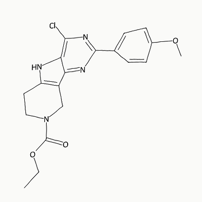 CCOC(=O)N1CCc2[nH]c3c(Cl)nc(-c4ccc(OC)cc4)nc3c2C1